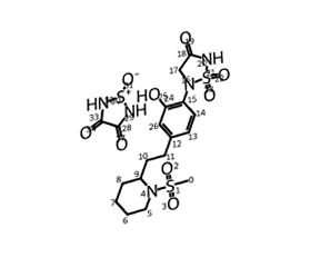 CS(=O)(=O)N1CCCCC1CCc1ccc(N2CC(=O)NS2(=O)=O)c(O)c1.O=c1[nH][s+]([O-])[nH]c1=O